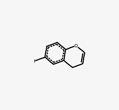 Ic1ccc2c(c1)CC=CO2